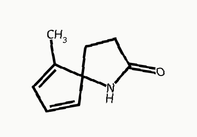 CC1=CC=CC12CCC(=O)N2